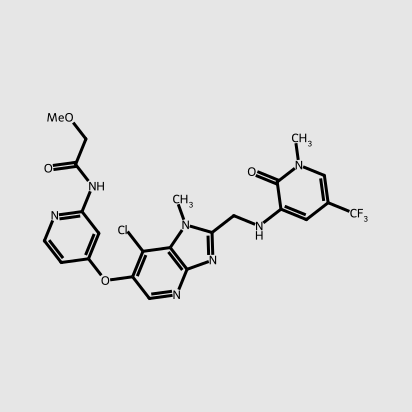 COCC(=O)Nc1cc(Oc2cnc3nc(CNc4cc(C(F)(F)F)cn(C)c4=O)n(C)c3c2Cl)ccn1